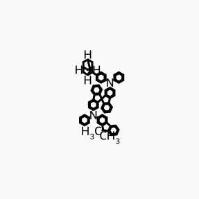 CC1(C)c2ccccc2-c2ccc(N(c3ccccc3)c3ccc4c(c3)C3(c5ccccc5-c5ccc(N(c6ccccc6)c6ccc(C7[C@H]8C[C@H]9C[C@H](C8)C[C@H]7C9)cc6)cc53)c3ccccc3-4)cc21